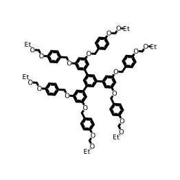 CCOCOc1ccc(COc2cc(OCc3ccc(OCOCC)cc3)cc(-c3cc(-c4cc(OCc5ccc(OCOCC)cc5)cc(OCc5ccc(OCOCC)cc5)c4)cc(-c4cc(OCc5ccc(OCOCC)cc5)cc(OCc5ccc(OCOCC)cc5)c4)c3)c2)cc1